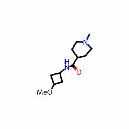 COC1CC(NC(=O)C2CCN(C)CC2)C1